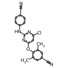 Cc1cc(C#N)cc(C)c1Oc1cc(Cl)nc(Nc2ccc(C#N)cc2)n1